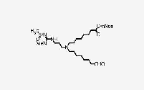 CCCCCCCCCOC(=O)CCCCCCCN(CCCCCCCC=O)CCCN/C(=N/[S+](C)[O-])NC